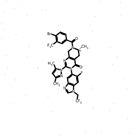 Cc1cc(C)n(-c2nc3c(c(=O)n2-c2cc4ncn(CC(F)(F)F)c4cc2F)C[C@@H](C)N(C(=O)c2ccc(Br)c(C(F)(F)F)c2)C3)n1